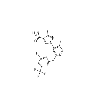 Cc1cnc(Cc2cc(F)cc(C(F)(F)F)c2)cc1-n1cc(C(N)=O)c(C)n1